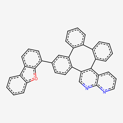 c1ccc2c(c1)-c1cc(-c3cccc4c3oc3ccccc34)ccc1-c1cnc3ncccc3c1-c1ccccc1-2